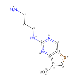 NCCCNc1ncc2scc(C(=O)O)c2n1